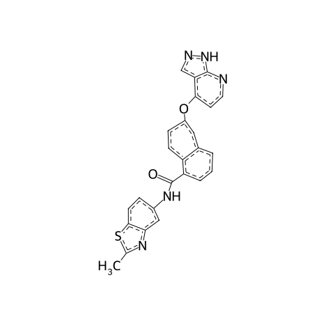 Cc1nc2cc(NC(=O)c3cccc4cc(Oc5ccnc6[nH]ncc56)ccc34)ccc2s1